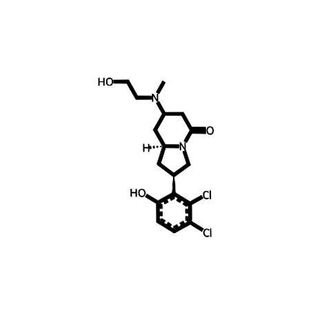 CN(CCO)C1CC(=O)N2C[C@@H](c3c(O)ccc(Cl)c3Cl)C[C@H]2C1